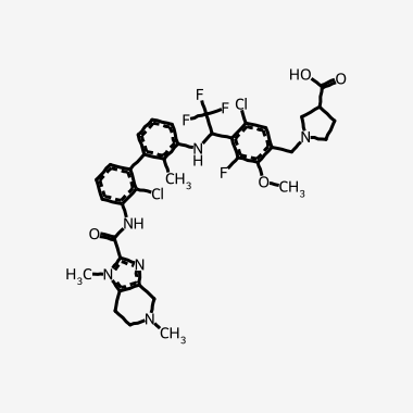 COc1c(CN2CCC(C(=O)O)C2)cc(Cl)c(C(Nc2cccc(-c3cccc(NC(=O)c4nc5c(n4C)CCN(C)C5)c3Cl)c2C)C(F)(F)F)c1F